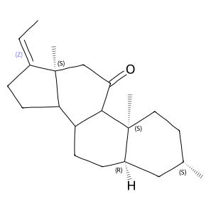 C/C=C1/CCC2C3CC[C@@H]4C[C@@H](C)CC[C@]4(C)C3C(=O)C[C@]12C